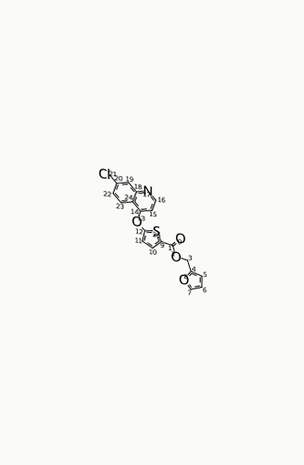 O=C(OCc1ccco1)c1ccc(Oc2ccnc3cc(Cl)ccc23)s1